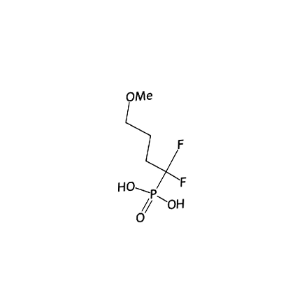 COCCCC(F)(F)P(=O)(O)O